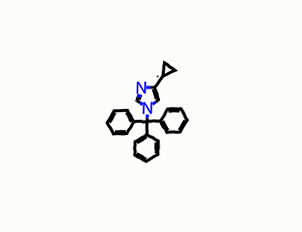 c1ccc(C(c2ccccc2)(c2ccccc2)n2cnc([C]3CC3)c2)cc1